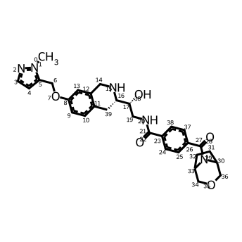 Cn1nccc1COc1ccc2c(c1)CN[C@H]([C@H](O)CNC(=O)c1ccc(C(=O)N3C4CCC3COC4)cc1)C2